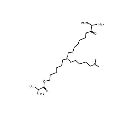 CCCCCCCCC(CCCCCC)C(=O)OCCCCCCN(CCCCCCOC(=O)C(CCCCCC)CCCCCCCC)OCCCCN(C)C